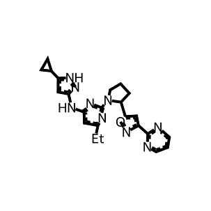 CCc1cc(Nc2cc(C3CC3)[nH]n2)nc(N2CCCC2c2cc(-c3ncccn3)no2)n1